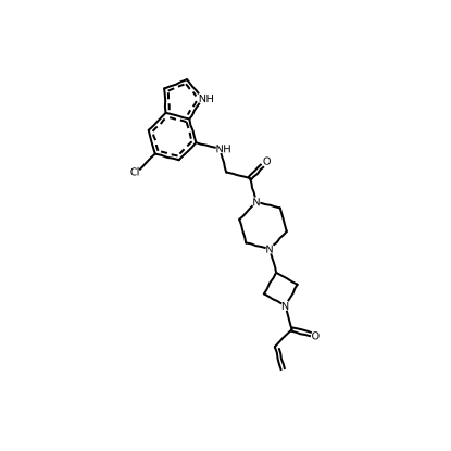 C=CC(=O)N1CC(N2CCN(C(=O)CNc3cc(Cl)cc4cc[nH]c34)CC2)C1